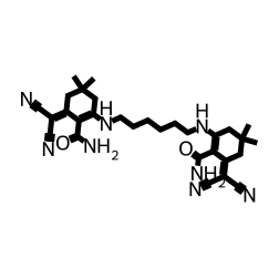 CC1(C)CC(NCCCCCCNC2=C(C(N)=O)C(=C(C#N)C#N)CC(C)(C)C2)=C(C(N)=O)C(=C(C#N)C#N)C1